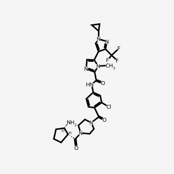 Cn1c(-c2cn(C3CC3)nc2C(F)(F)F)cnc1C(=O)Nc1ccc(C(=O)N2CCN(C(=O)[C@@H]3CCC[C@@H]3N)CC2)c(Cl)c1